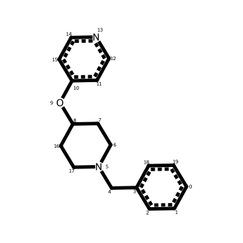 c1ccc(CN2CCC(Oc3ccncc3)CC2)cc1